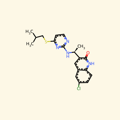 CC(C)CSc1ccnc(N[C@@H](C)c2cc3cc(Cl)ccc3[nH]c2=O)n1